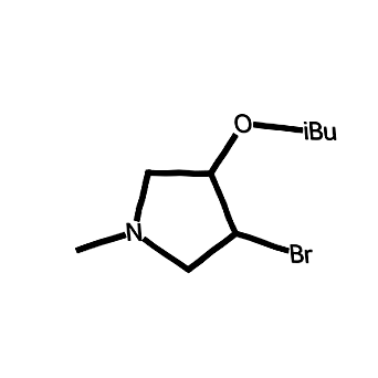 CCC(C)OC1CN(C)CC1Br